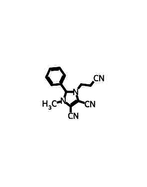 CN1C(C#N)=C(C#N)N(CCC#N)C1c1ccccc1